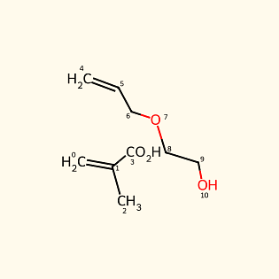 C=C(C)C(=O)O.C=CCOCCO